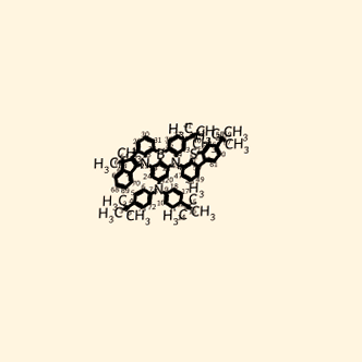 CC(C)(C)c1ccc(N(C2=CCC(C(C)(C)C)C=C2)c2cc3c4c(c2)-n2c5c(c6cccc(c62)B4c2ccc(C(C)(C)C)cc2N3c2cccc3c2sc2cc(C(C)(C)C)ccc23)C(C)(C)c2ccccc2-5)cc1